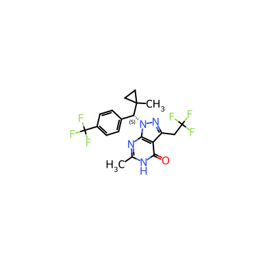 Cc1nc2c(c(CC(F)(F)F)nn2[C@H](c2ccc(C(F)(F)F)cc2)C2(C)CC2)c(=O)[nH]1